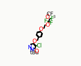 CC(C)(C)n1ncc(OCc2ccc(OCCOC(F)(F)C(F)OC(F)(F)F)cc2)c(Cl)c1=O